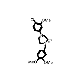 COc1cc(N2CCN(Cc3ccc(OC)c(OC)c3)[C@H](C)C2)ccc1Cl